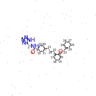 O=C(NCc1nnn[nH]1)c1ccc(CCCc2ccccc2OCc2ccccc2)cc1